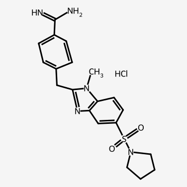 Cl.Cn1c(Cc2ccc(C(=N)N)cc2)nc2cc(S(=O)(=O)N3CCCC3)ccc21